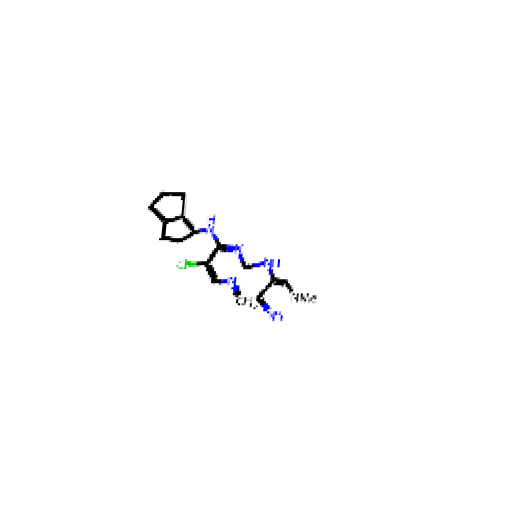 C=N/C=C(Cl)\C(=N/CN/C(C=N)=C/NC)NC1CCC2CCCC21